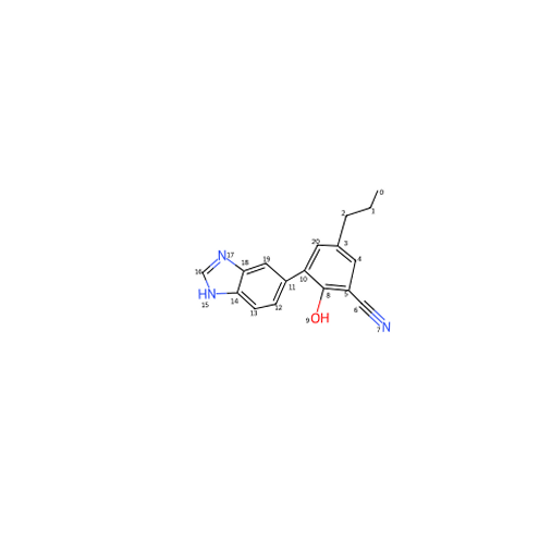 CCCc1cc(C#N)c(O)c(-c2ccc3[nH]cnc3c2)c1